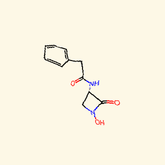 O=C(Cc1ccccc1)N[C@H]1CN(O)C1=O